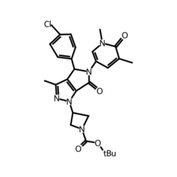 Cc1nn(C2CN(C(=O)OC(C)(C)C)C2)c2c1C(c1ccc(Cl)cc1)N(c1cc(C)c(=O)n(C)c1)C2=O